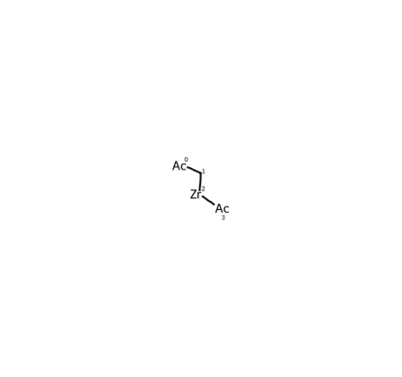 CC(=O)[CH2][Zr][C](C)=O